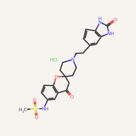 CS(=O)(=O)Nc1ccc2c(c1)C(=O)CC1(CCN(CCc3ccc4[nH]c(=O)[nH]c4c3)CC1)O2.Cl